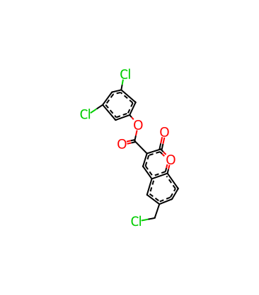 O=C(Oc1cc(Cl)cc(Cl)c1)c1cc2cc(CCl)ccc2oc1=O